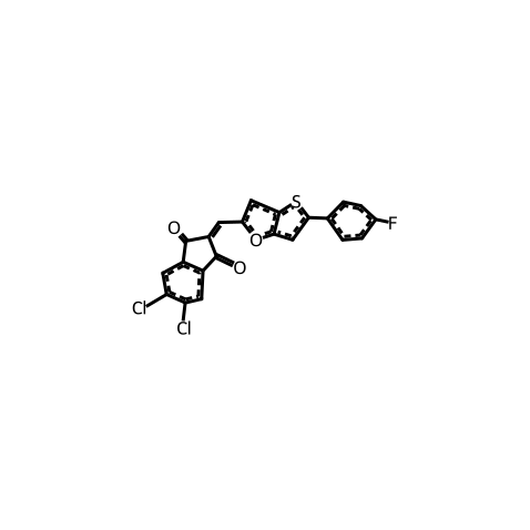 O=C1C(=Cc2cc3sc(-c4ccc(F)cc4)cc3o2)C(=O)c2cc(Cl)c(Cl)cc21